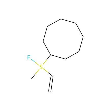 C=CS(C)(F)C1CCCCCCC1